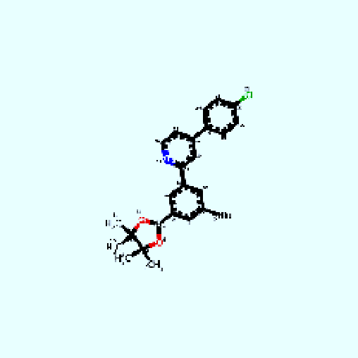 CC(C)(C)c1cc(B2OC(C)(C)C(C)(C)O2)cc(-c2cc(-c3ccc(Cl)cc3)ccn2)c1